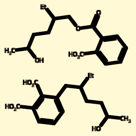 CCC(CCC(C)O)COC(=O)c1ccccc1C(=O)O.CCC(CCC(C)O)Cc1cccc(C(=O)O)c1C(=O)O